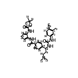 Cc1cc(NC(=O)NC(CCN(C)C)c2ccc(C(=O)Nc3cscc3NC(=O)OC(C)(C)C)nc2)ccc1F